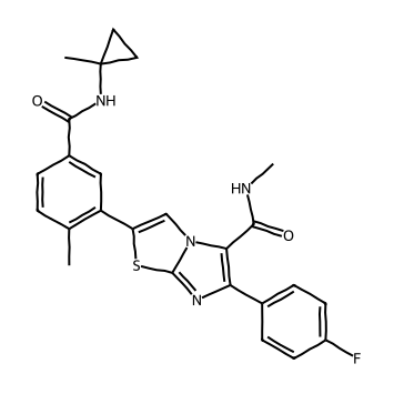 CNC(=O)c1c(-c2ccc(F)cc2)nc2sc(-c3cc(C(=O)NC4(C)CC4)ccc3C)cn12